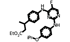 CCOC(=O)CC(C)c1ccc(Nc2nc(Nc3ccc(OC(C)C)cc3)ncc2F)cc1